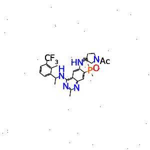 CC(=O)N1CC[C@@H](Nc2cc3c(NC(C)c4cccc(C(F)(F)F)c4C)nc(C)nc3cc2P(C)(C)=O)C1